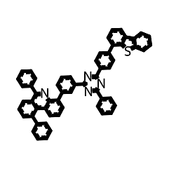 c1ccc(-c2nc(-c3ccc(-c4cccc5c4sc4ccccc45)cc3)nc(-c3cccc(-c4cccc5c4nc(-c4ccccc4)c4cccc(-c6ccccc6)c45)c3)n2)cc1